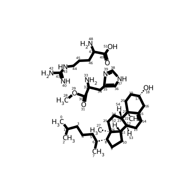 CC(C)CCCC(C)[C@H]1CC[C@H]2[C@@H]3CC=C4C[C@@H](O)CC[C@]4(C)[C@H]3CC[C@]12C.COC(=O)C(N)Cc1c[nH]cn1.N=C(N)NCCCC(N)C(=O)O